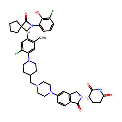 COc1cc(N2CCC(CN3CCN(c4ccc5c(c4)CN([C@H]4CCC(=O)NC4=O)C5=O)CC3)CC2)c(F)cc1[C@@H]1N(c2cccc(F)c2O)C(=O)C12CCCC2